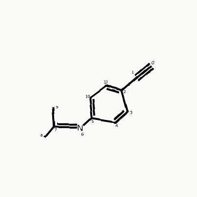 C#Cc1ccc(N=C(C)C)cc1